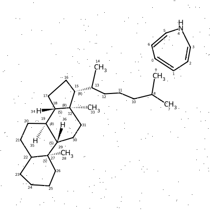 C1=CC=CNC=C1.CC(C)CCCC(C)[C@H]1CC[C@H]2[C@@H]3CCC4CCCC[C@]4(C)[C@H]3CC[C@]12C